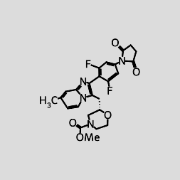 COC(=O)N1CCO[C@@H](Cc2c(-c3c(F)cc(N4C(=O)CCC4=O)cc3F)nc3cc(C)ccn23)C1